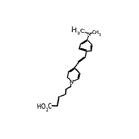 CN(C)c1ccc(C=CC2=CCN(CCCCCC(=O)O)C=C2)cc1